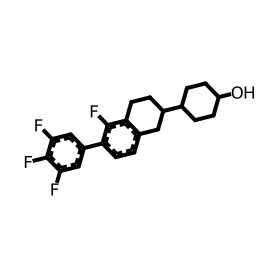 OC1CCC(C2CCc3c(ccc(-c4cc(F)c(F)c(F)c4)c3F)C2)CC1